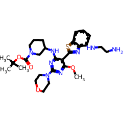 COc1nc(N2CCOCC2)nc(NC2CCCN(C(=O)OC(C)(C)C)C2)c1-c1nc2c(NCCN)cccc2s1